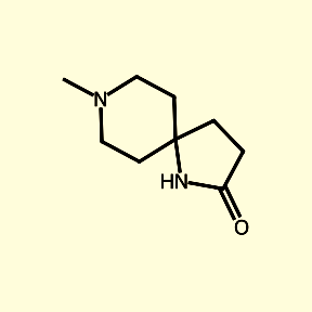 CN1CCC2(CCC(=O)N2)CC1